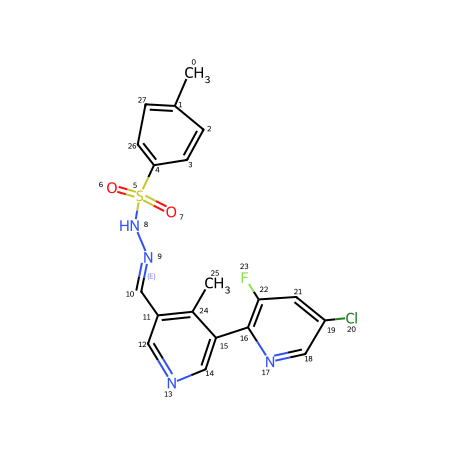 Cc1ccc(S(=O)(=O)N/N=C/c2cncc(-c3ncc(Cl)cc3F)c2C)cc1